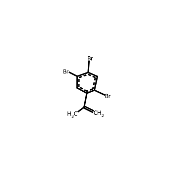 C=C(C)c1cc(Br)c(Br)cc1Br